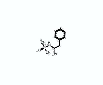 CC(C)[C@H](Cc1ccccc1)NP(=O)(O)O